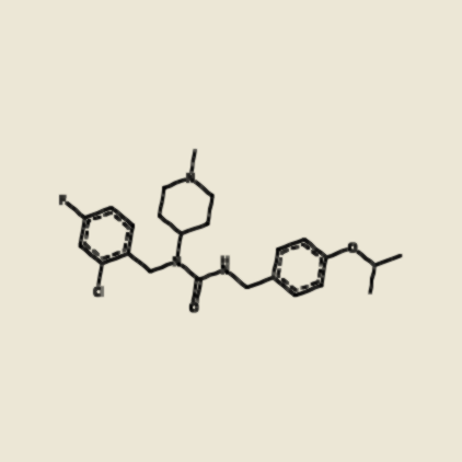 CC(C)Oc1ccc(CNC(=O)N(Cc2ccc(F)cc2Cl)C2CCN(C)CC2)cc1